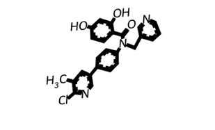 Cc1cc(-c2ccc(N(Cc3cccnc3)C(=O)c3ccc(O)cc3O)cc2)cnc1Cl